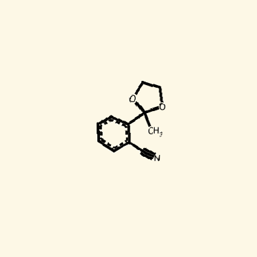 CC1(c2ccccc2C#N)OCCO1